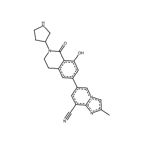 Cc1cn2cc(-c3cc(O)c4c(c3)CCN(C3CCNC3)C4=O)cc(C#N)c2n1